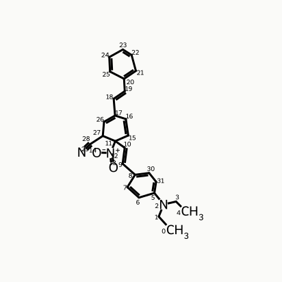 CCN(CC)c1ccc(C=CC2([N+](=O)[O-])C=CC(C=Cc3ccccc3)=CC2C#N)cc1